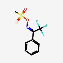 CS(=O)(=O)ON=C(c1ccccc1)C(F)(F)F